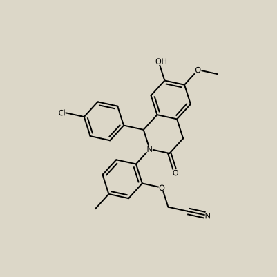 COc1cc2c(cc1O)C(c1ccc(Cl)cc1)N(c1ccc(C)cc1OCC#N)C(=O)C2